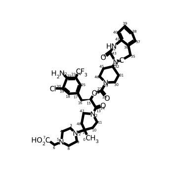 CC1(N2CCN(CC(=O)O)CC2)CCN(C(=O)[C@@H](Cc2cc(Cl)c(N)c(C(F)(F)F)c2)OC(=O)N2CCC(N3CCc4ccccc4NC3=O)CC2)CC1